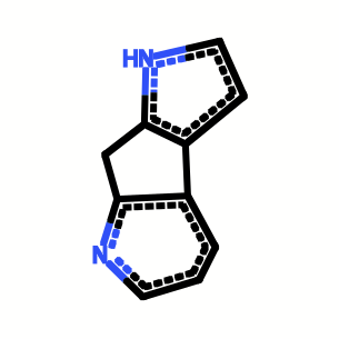 c1cnc2c(c1)-c1cc[nH]c1C2